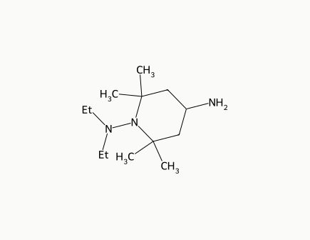 CCN(CC)N1C(C)(C)CC(N)CC1(C)C